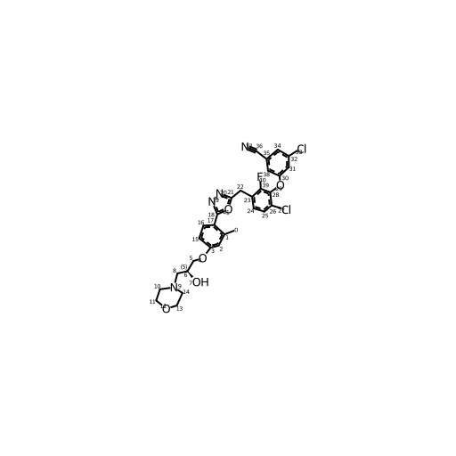 Cc1cc(OC[C@@H](O)CN2CCOCC2)ccc1-c1nnc(Cc2ccc(Cl)c(Oc3cc(Cl)cc(C#N)c3)c2F)o1